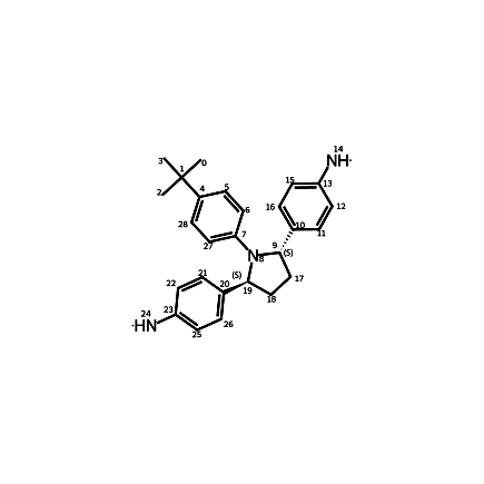 CC(C)(C)c1ccc(N2[C@H](c3ccc([NH])cc3)CC[C@H]2c2ccc([NH])cc2)cc1